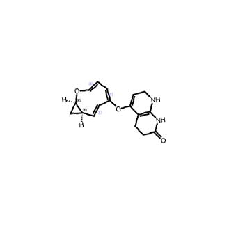 O=C1CCC2=C(NCC=C2OC2=C/C=C/O[C@@H]3C[C@@H]3\C=C\2)N1